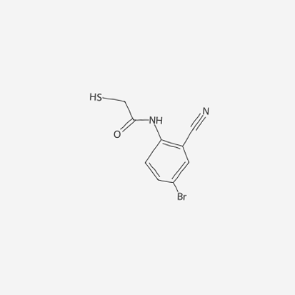 N#Cc1cc(Br)ccc1NC(=O)CS